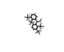 CCC(c1cccc(C(C)(C)C)c1C(C)(C)C)c1cccc(C(C)(C)C)c1C(C)(C)C